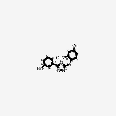 CC(=O)c1ccc(Sc2nnc(-c3cccc(Br)c3)o2)c([N+](=O)[O-])c1